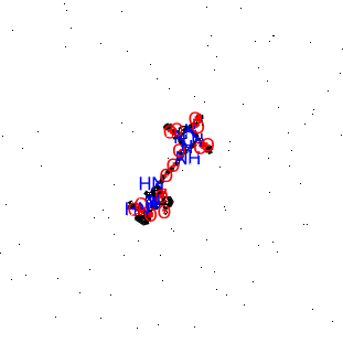 COc1cccc(OC)c1-c1cc(C(=O)NC2(C(=O)OC(C)(C)C)C3CC4CC(C3)CC2C4)nn1-c1ccc(NCCOCCOCCNC(=O)CN2CCN(CC(=O)OC(C)(C)C)CCN(CC(=O)OC(C)(C)C)CCN(CC(=O)OC(C)(C)C)CC2)cc1C(C)C